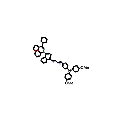 COc1ccc(N(c2ccc(/C=C/C=C/c3ccc(N(C=C(c4ccccc4)c4ccccc4)c4ccccc4)c4ccccc34)cc2)c2ccc(OC)cc2)cc1